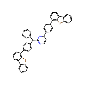 c1ccc2c(c1)-c1cc(-c3cccc4c3sc3ccccc34)ccc1C2c1nccc(-c2ccc(-c3cccc4c3sc3ccccc34)cc2)n1